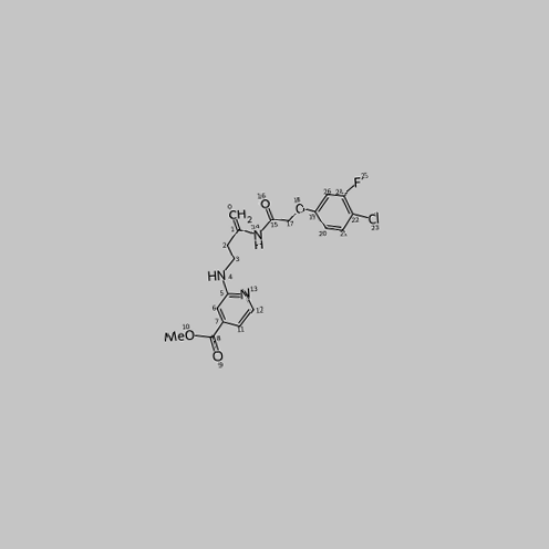 C=C(CCNc1cc(C(=O)OC)ccn1)NC(=O)COc1ccc(Cl)c(F)c1